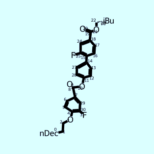 CCCCCCCCCCCCOc1ccc(C(=O)Oc2ccc(-c3ccc(C(=O)OC[C@@H](C)CC)cc3F)cc2)cc1F